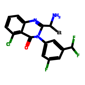 CCC(N)c1nc2cccc(Cl)c2c(=O)n1-c1cc(F)cc(C(F)F)c1